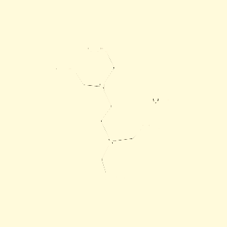 O=C([O-])CN(CCN(CC(=O)[O-])CC(=O)[O-])CC(=O)[O-].[Mo+4]